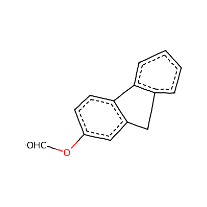 O=[C]Oc1ccc2c(c1)Cc1ccccc1-2